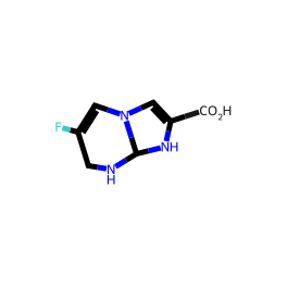 O=C(O)C1=CN2C=C(F)CNC2N1